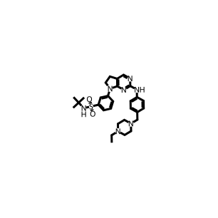 CCN1CCN(Cc2ccc(Nc3ncc4c(n3)N(c3cccc(S(=O)(=O)NC(C)(C)C)c3)CC4)cc2)CC1